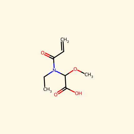 C=CC(=O)N(CC)C(OC)C(=O)O